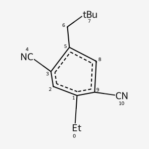 CCc1cc(C#N)c(CC(C)(C)C)cc1C#N